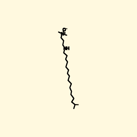 CC(C)CCCCCCCCCCCCCCCNCCC[N+](C)(C)[O-]